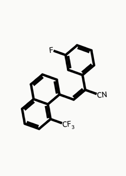 N#CC(=Cc1cccc2cccc(C(F)(F)F)c12)c1cccc(F)c1